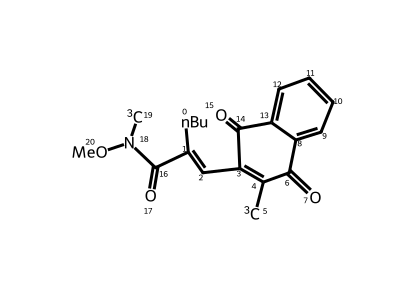 CCCC/C(=C\C1=C([3CH3])C(=O)c2ccccc2C1=O)C(=O)N([3CH3])OC